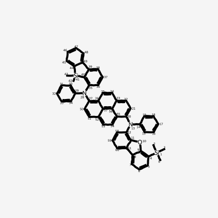 C[Si](C)(C)c1cccc2c1oc1c(N(c3ccccc3)c3ccc4ccc5c(N(c6ccccc6)c6cccc7c6[Si](C)(C)c6ccccc6-7)ccc6ccc3c4c65)cccc12